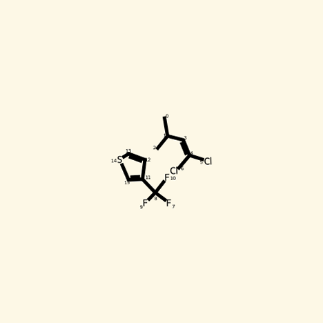 CC(C)C=C(Cl)Cl.FC(F)(F)c1ccsc1